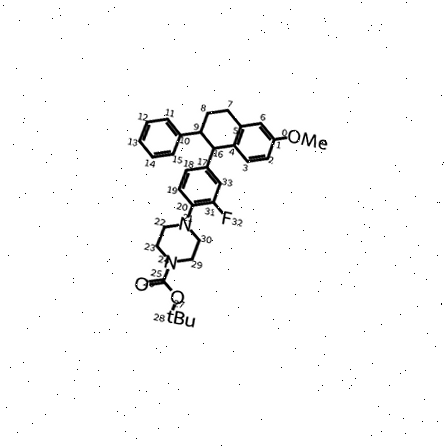 COc1ccc2c(c1)CCC(c1ccccc1)C2c1ccc(N2CCN(C(=O)OC(C)(C)C)CC2)c(F)c1